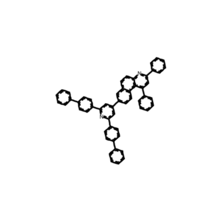 c1ccc(-c2ccc(-c3cc(-c4ccc5c(ccc6nc(-c7ccccc7)cc(-c7ccccc7)c65)c4)cc(-c4ccc(-c5ccccc5)cc4)n3)cc2)cc1